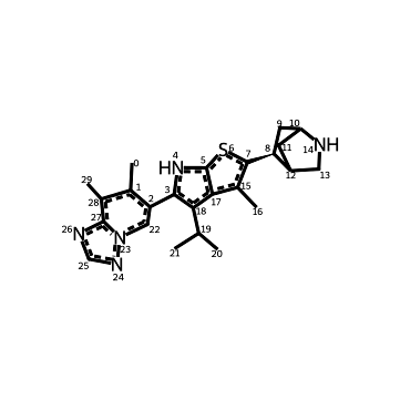 Cc1c(-c2[nH]c3sc([C@H]4CC5CC4CN5)c(C)c3c2C(C)C)cn2ncnc2c1C